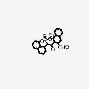 CCOP(=O)(O)C(C(=O)c1cc2ccccc2cc1C=O)c1cccc2ccccc12